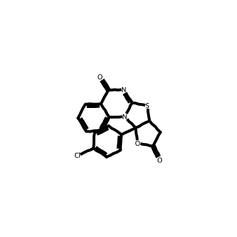 O=C1CC2Sc3nc(=O)c4ccccc4n3C2(c2ccc(Cl)cc2)O1